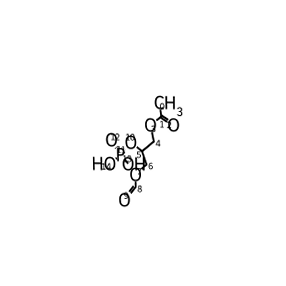 CC(=O)OCC(COC=O)OP(=O)(O)O